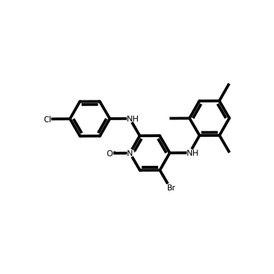 Cc1cc(C)c(Nc2cc(Nc3ccc(Cl)cc3)[n+]([O-])cc2Br)c(C)c1